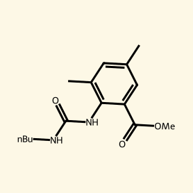 CCCCNC(=O)Nc1c(C)cc(C)cc1C(=O)OC